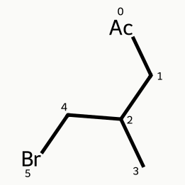 CC(=O)CC(C)CBr